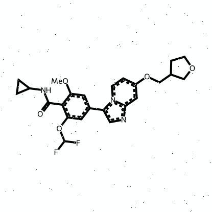 COc1cc(-c2cnc3cc(OCC4CCOC4)ccn23)cc(OC(F)F)c1C(=O)NC1CC1